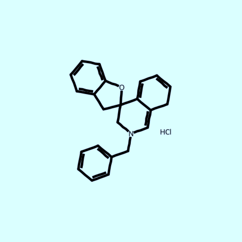 C1=CCC2=CN(Cc3ccccc3)CC3(Cc4ccccc4O3)C2=C1.Cl